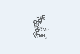 C=CC(=O)Nc1ccnc(-c2cccc3cnc(Nc4ccc([C@@H]5OCCNC5CN)cc4OC)nc23)c1